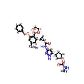 COc1cc(OCc2ccccc2)c(C2OCCO2)c([C@@H]2C[C@H]2C(=O)Nc2cc([C@H]3CC[C@@H](OC(=O)NC(C)C)C3)[nH]n2)c1